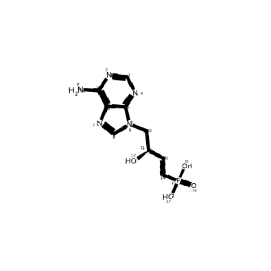 Nc1ncnc2c1ncn2C[C@H](O)/C=C/P(=O)(O)O